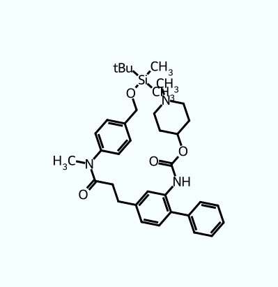 CN1CCC(OC(=O)Nc2cc(CCC(=O)N(C)c3ccc(CO[Si](C)(C)C(C)(C)C)cc3)ccc2-c2ccccc2)CC1